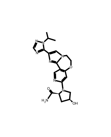 CC(C)n1ncnc1-c1cn2c(n1)-c1cnc(N3C[C@@H](O)C[C@H]3C(N)=O)cc1OCC2